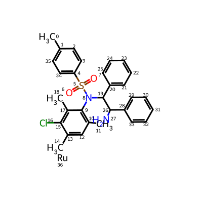 Cc1ccc(S(=O)(=O)N(c2c(C)cc(C)c(Cl)c2C)C(c2ccccc2)C(N)c2ccccc2)cc1.[Ru]